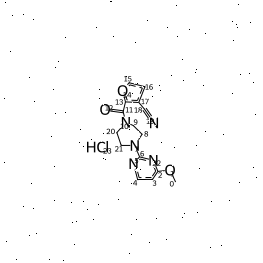 COc1ccnc(N2CCN(C(=O)c3occc3C#N)CC2)n1.Cl